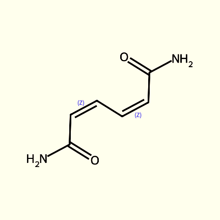 NC(=O)/C=C\C=C/C(N)=O